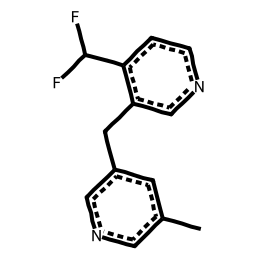 Cc1cncc(Cc2cnccc2C(F)F)c1